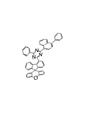 c1ccc(-c2nc(-c3cccc4c3-c3ccccc3C43c4ccccc4Oc4ccccc43)nc(-c3ccc(-c4ccccc4)c4ccccc34)n2)cc1